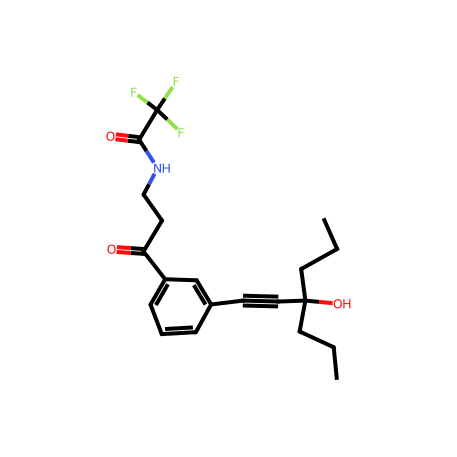 CCCC(O)(C#Cc1cccc(C(=O)CCNC(=O)C(F)(F)F)c1)CCC